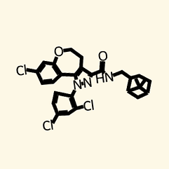 CC1(C)C2CCC(CNC(=O)c3nn(-c4ccc(Cl)cc4Cl)c4c3CCOc3cc(Cl)ccc3-4)C1C2